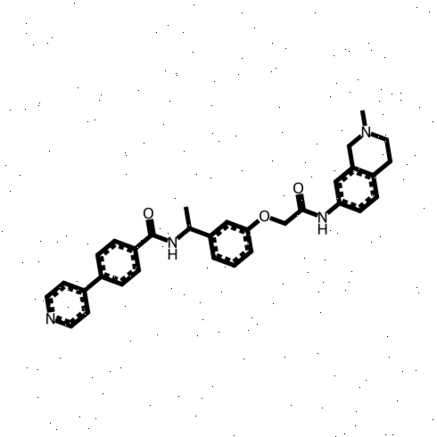 CC(NC(=O)c1ccc(-c2ccncc2)cc1)c1cccc(OCC(=O)Nc2ccc3c(c2)CN(C)CC3)c1